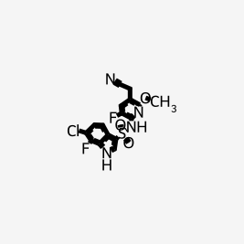 COc1nc(NS(=O)(=O)c2c[nH]c3c(F)c(Cl)ccc23)c(F)cc1CC#N